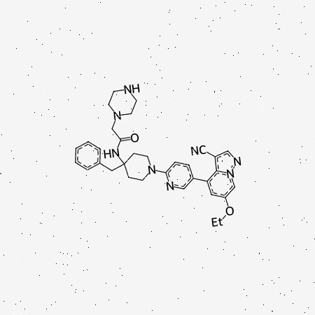 CCOc1cc(-c2ccc(N3CCC(Cc4ccccc4)(NC(=O)CN4CCNCC4)CC3)nc2)c2c(C#N)cnn2c1